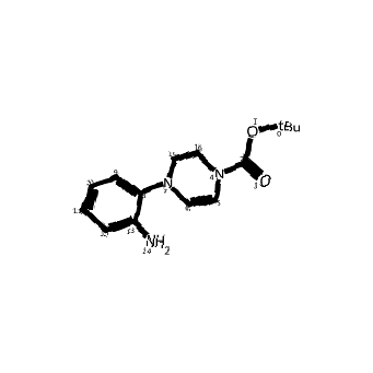 CC(C)(C)OC(=O)N1C=CN(c2ccccc2N)CC1